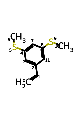 C=Cc1cc(SC)cc(SC)c1